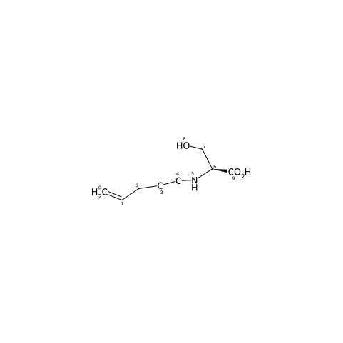 C=CCCCN[C@@H](CO)C(=O)O